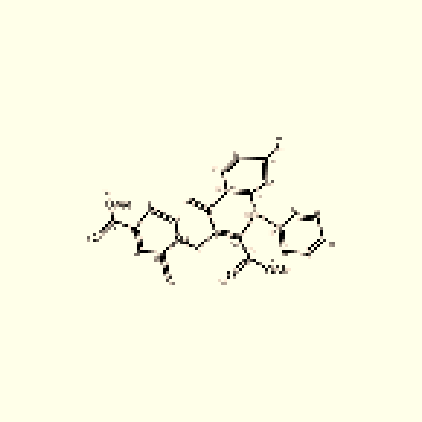 C=C1C(CN2C=CC(C(=O)OC)=CC2=C)=C(C(=O)OC)N(c2ccccc2)c2cc(Cl)ccc21